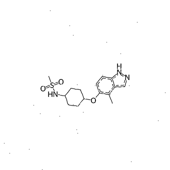 Cc1c(OC2CCC(NS(C)(=O)=O)CC2)ccc2[nH]ncc12